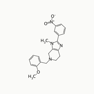 COc1ccccc1CN1CCc2nc(-c3cccc([N+](=O)[O-])c3)n(C)c2C1